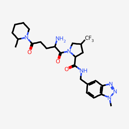 CC1CCCCN1C(=O)CCC(N)C(=O)N1CC(C(F)(F)F)CC1C(=O)NCc1ccc2c(c1)nnn2C